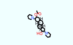 CC(=O)O[C@H]1C[C@@H]2CC[C@@H]3[C@H](CC[C@]4(C)[C@@H](O)[C@@H](N5CCCCC5)C[C@@H]34)[C@@]2(C)C[C@@H]1N1CCCCC1